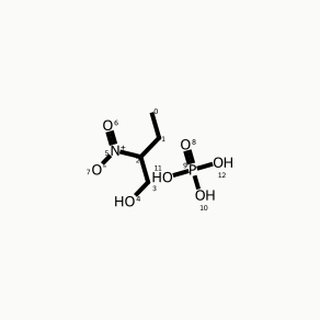 CCC(CO)[N+](=O)[O-].O=P(O)(O)O